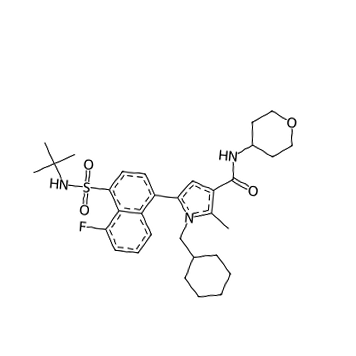 Cc1c(C(=O)NC2CCOCC2)cc(-c2ccc(S(=O)(=O)NC(C)(C)C)c3c(F)cccc23)n1CC1CCCCC1